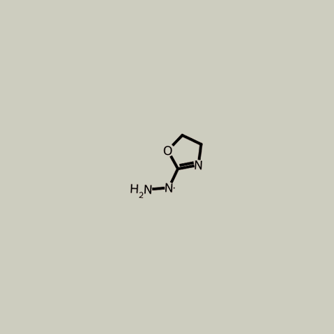 N[N]C1=NCCO1